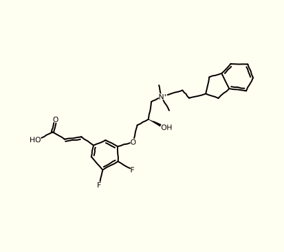 C[N+](C)(CCC1Cc2ccccc2C1)C[C@@H](O)COc1cc(/C=C/C(=O)O)cc(F)c1F